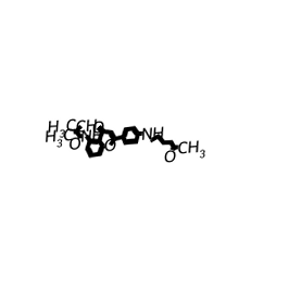 CC(=O)CCCCNc1ccc(-c2cc(=O)c3c(NC(=O)C(C)(C)C)cccc3o2)cc1